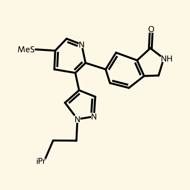 CSc1cnc(-c2ccc3c(c2)C(=O)NC3)c(-c2cnn(CCC(C)C)c2)c1